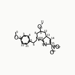 COc1ccc(CN2CC(OC)CC3C=C([N+](=O)[O-])N=C32)cc1